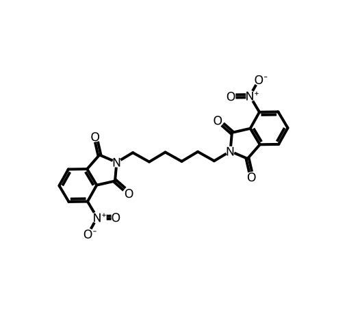 O=C1c2cccc([N+](=O)[O-])c2C(=O)N1CCCCCCN1C(=O)c2cccc([N+](=O)[O-])c2C1=O